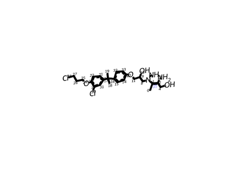 C/C(=C(/N)CO)N(N)CC(O)COc1ccc(C(C)(C)c2ccc(OCCCCl)c(Cl)c2)cc1